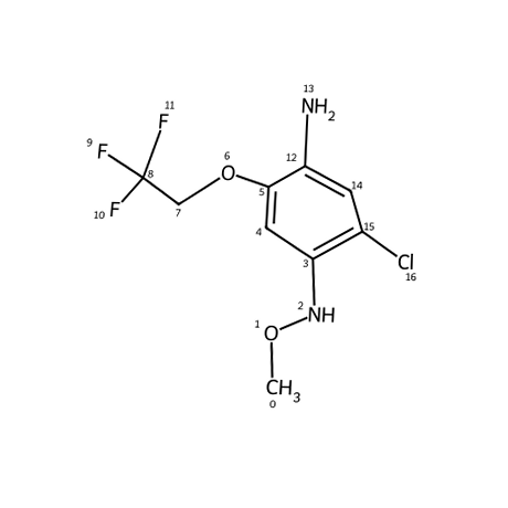 CONc1cc(OCC(F)(F)F)c(N)cc1Cl